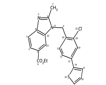 CCOC(=O)c1ccc2nc(C)n(Cc3ccc(-c4cccs4)cc3Cl)c2c1